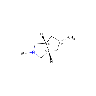 CC(C)N1C[C@H]2C[C@@H](C)C[C@H]2C1